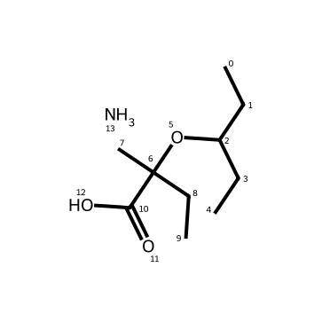 CCC(CC)OC(C)(CC)C(=O)O.N